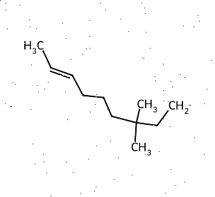 [CH2]CC(C)(C)CCCC=CC